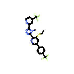 CCSc1cc(-c2ccc(C(F)(F)F)cc2)cnc1-c1nnc(-c2cc(C(F)(F)F)ccn2)n1C